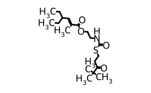 CCC(/C=C(\C)C(=O)OCCNC(=O)SCCC(=O)C(C)(C)C)CC